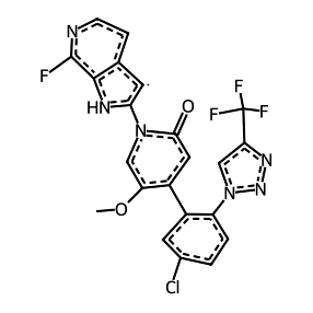 COc1cn(-c2[c]c3ccnc(F)c3[nH]2)c(=O)cc1-c1cc(Cl)ccc1-n1cc(C(F)(F)F)nn1